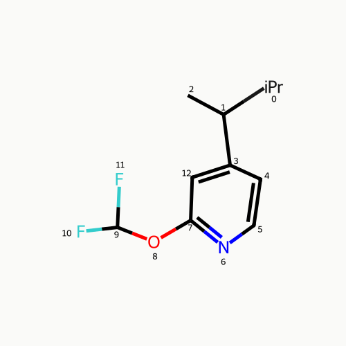 CC(C)C(C)c1ccnc(OC(F)F)c1